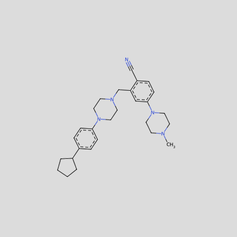 CN1CCN(c2ccc(C#N)c(CN3CCN(c4ccc(C5CCCC5)cc4)CC3)c2)CC1